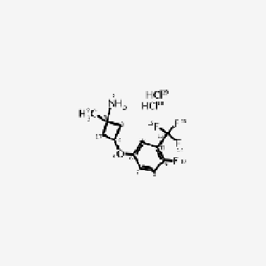 CC1(N)CC(Oc2ccc(F)c(C(F)(F)F)c2)C1.Cl.Cl